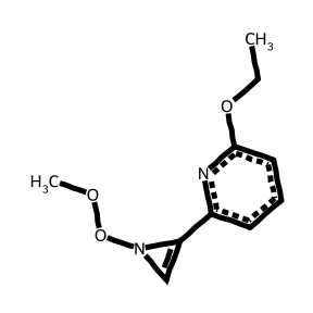 CCOc1cccc(C2=CN2OOC)n1